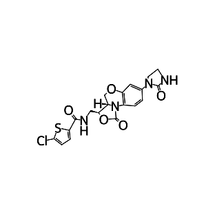 O=C(NC[C@@H]1OC(=O)N2c3ccc(N4CCNC4=O)cc3OC[C@@H]12)c1ccc(Cl)s1